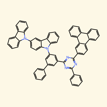 c1ccc(-c2cc(-c3nc(-c4ccccc4)nc(-c4ccc5c6ccccc6c6ccccc6c5c4)n3)cc(-n3c4ccccc4c4cc(-n5c6ccccc6c6ccccc65)ccc43)c2)cc1